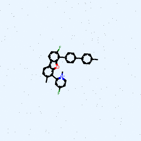 Cc1ccc(-c2ccc(-c3c(F)ccc4c3oc3c(-c5cc(F)cc[n+]5C)c(C)ccc34)cc2)cc1